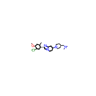 COc1cc(C)c(-c2cn3ccc(N4CCC(CN(C)C)CC4)cc3n2)cc1Cl